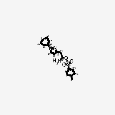 Cc1ccc(S(=O)(=O)OC(N)Cc2ccn(-c3ccccc3)n2)cc1